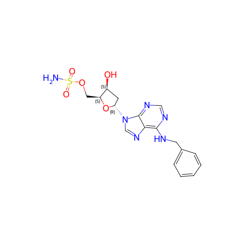 NS(=O)(=O)OC[C@@H]1O[C@@H](n2cnc3c(NCc4ccccc4)ncnc32)C[C@@H]1O